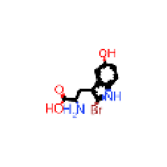 NC(Cc1c(Br)[nH]c2ccc(O)cc12)C(=O)O